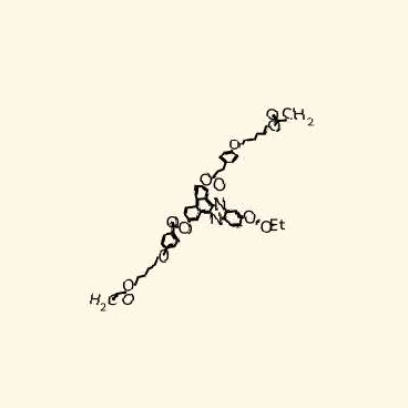 C=CC(=O)OCCCCCCOc1ccc(CCC(=O)Oc2ccc3c4ccc(OC(=O)c5ccc(OCCCCCCOC(=O)C=C)cc5)cc4c4nc5ccc(OCCOCC)cc5nc4c3c2)cc1